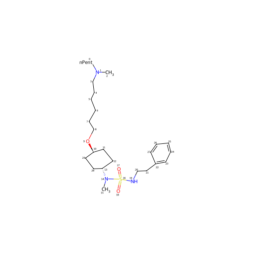 CCCCCN(C)CCCCCCO[C@H]1CC[C@H](N(C)S(=O)(=O)NCCc2ccccc2)CC1